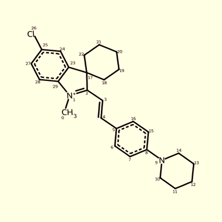 C[N+]1=C(/C=C/c2ccc(N3CCCCC3)cc2)C2(CCCCC2)c2cc(Cl)ccc21